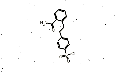 NC(=O)c1ccccc1CCc1ccc(S(=O)(=O)Cl)cc1